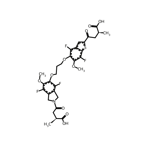 COc1c(F)c2c(c(F)c1OCCCOc1c(OC)c(F)c3sc(C(=O)C[C@H](C)C(=O)O)cc3c1F)CN(C(=O)C[C@H](C)C(=O)O)C2